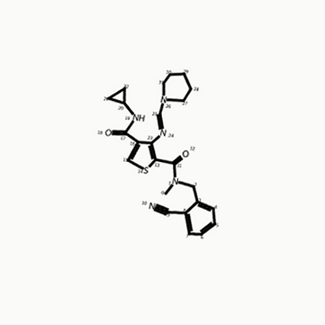 CN(Cc1ccccc1C#N)C(=O)c1scc(C(=O)NC2CC2)c1/N=C/N1CCCCC1